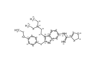 CCOc1ccc(Cc2nc3cc(NC(=N)C4=COCC4)ccc3n2CCN(CC)CC)cc1